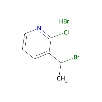 Br.CC(Br)c1cccnc1Cl